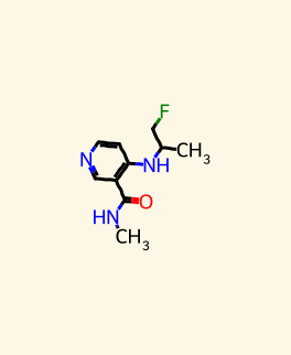 CNC(=O)c1cnccc1NC(C)CF